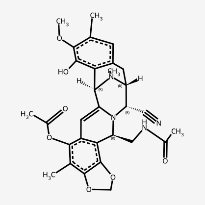 COc1c(C)cc2c(c1O)[C@@H]1C3=Cc4c(OC(C)=O)c(C)c5c(c4[C@H](CNC(C)=O)N3[C@@H](C#N)[C@@H](C2)N1C)OCO5